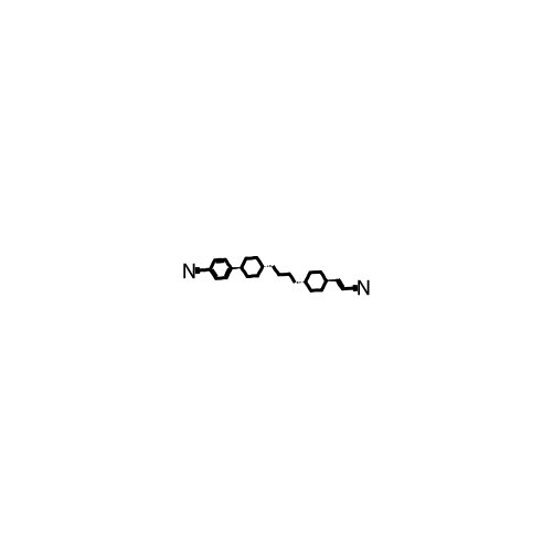 N#C/C=C/[C@H]1CC[C@H](CCCC[C@H]2CC[C@H](c3ccc(C#N)cc3)CC2)CC1